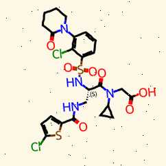 O=C(O)CN(C(=O)[C@H](CNC(=O)c1ccc(Cl)s1)NS(=O)(=O)c1cccc(N2CCCCC2=O)c1Cl)C1CC1